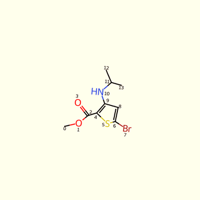 COC(=O)c1sc(Br)cc1NC(C)C